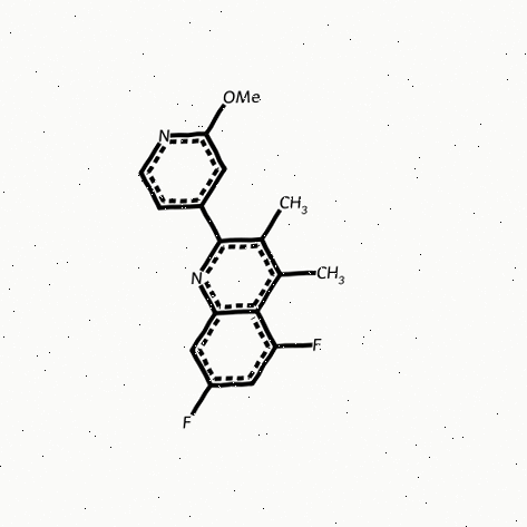 COc1cc(-c2nc3cc(F)cc(F)c3c(C)c2C)ccn1